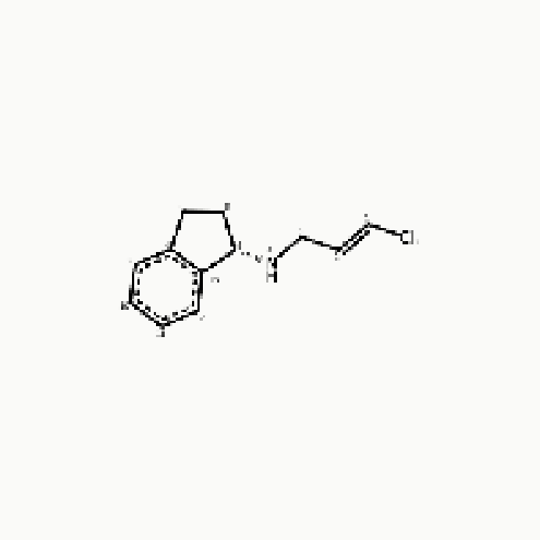 ClC=CCN[C@H]1CCc2ccccc21